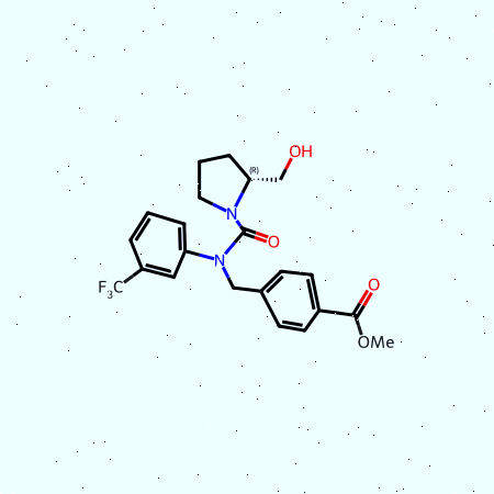 COC(=O)c1ccc(CN(C(=O)N2CCC[C@@H]2CO)c2cccc(C(F)(F)F)c2)cc1